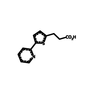 O=C(O)CCc1ccc(-c2ccccn2)s1